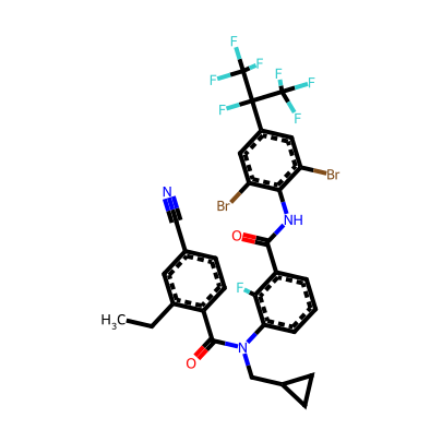 CCc1cc(C#N)ccc1C(=O)N(CC1CC1)c1cccc(C(=O)Nc2c(Br)cc(C(F)(C(F)(F)F)C(F)(F)F)cc2Br)c1F